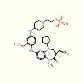 C=C[C@@]1(F)CN(C2CCCC2)c2nc(Nc3ccc(NC4CCN(CCOP(=O)(O)O)CC4)cc3OC)ncc2N(C)C1=O